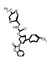 Cc1ccc(-c2cc(OC(=O)NCc3cnc(C)cn3)cc(-n3c(=O)oc4ccccc43)c2)cc1